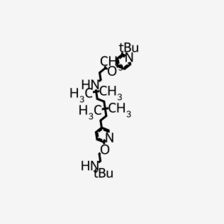 CC(CCNC(C)(C)CCC(C)(C)CCc1ccc(OCCNC(C)(C)C)nc1)Oc1ccnc(C(C)(C)C)c1